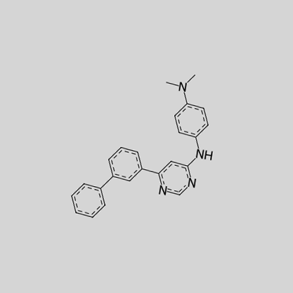 CN(C)c1ccc(Nc2cc(-c3cccc(-c4ccccc4)c3)ncn2)cc1